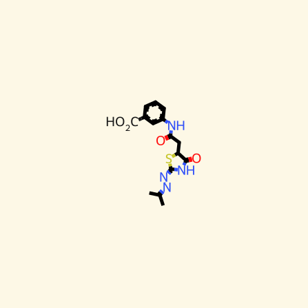 CC(C)=N/N=C1\NC(=O)C(CC(=O)Nc2cccc(C(=O)O)c2)S1